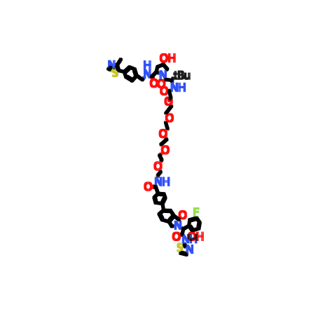 Cc1ncsc1-c1ccc(CNC(=O)C2CC(O)CN2C(=O)C(NC(=O)COCCOCCOCCOCCOCCNC(=O)c2ccc(-c3ccc4c(c3)C(=O)N(C(C(=O)Nc3nccs3)c3cc(F)ccc3O)C4)cc2)C(C)(C)C)cc1